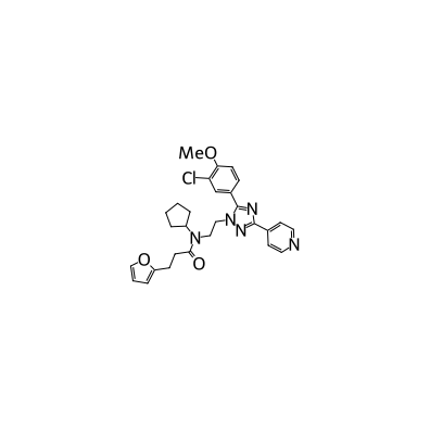 COc1ccc(-c2nc(-c3ccncc3)nn2CCN(C(=O)CCc2ccco2)C2CCCC2)cc1Cl